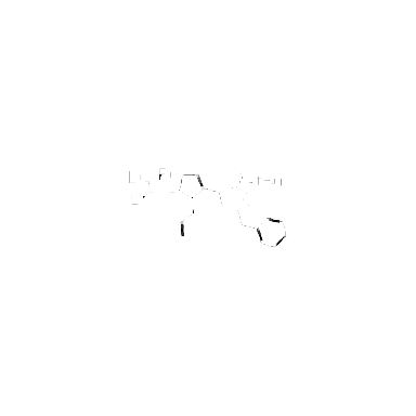 C=CC[C@@H]1C(CC[C@@H](Cc2ccccc2)O[Si](C)(C)C(C)(C)C)=CC[C@@H]1O[Si](CC)(CC)CC